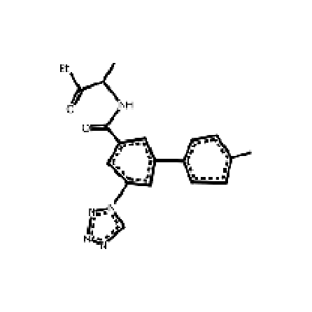 CCC(=O)C(C)NC(=O)c1cc(-c2ccc(C)cc2)cc(-n2cnnn2)c1